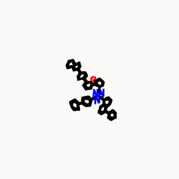 c1ccc(-c2ccc(-c3nc(-c4cccc5c(-c6ccccc6)cccc45)nc(-c4cccc5oc6c(-c7ccc(-c8ccc9ccccc9c8)cc7)cccc6c45)n3)cc2)cc1